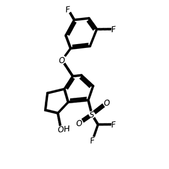 O=S(=O)(c1ccc(Oc2cc(F)cc(F)c2)c2c1C(O)CC2)C(F)F